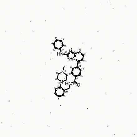 CN1CCN(c2ccccc2CNC(=O)c2ccc(-c3cccc4nc(Nc5ccccc5)nn34)cc2)CC1